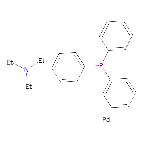 CCN(CC)CC.[Pd].c1ccc(P(c2ccccc2)c2ccccc2)cc1